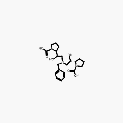 O=C(O)N1CCCC1C(O)CN(Cc1ccccc1)CC(O)[C@@H]1CCCN1C(=O)O